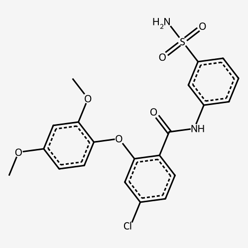 COc1ccc(Oc2cc(Cl)ccc2C(=O)Nc2cccc(S(N)(=O)=O)c2)c(OC)c1